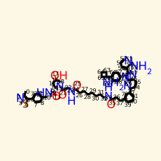 Cc1ncsc1-c1ccc(CNC(=O)[C@@H]2C[C@@H](O)CN2C(=O)CNC(=O)CCCCCCCNC(=O)CCc2cccc(-c3ccc4nc(-c5cccnc5N)n(-c5ccc(C6(N)CCC6)cc5)c4n3)c2)cc1